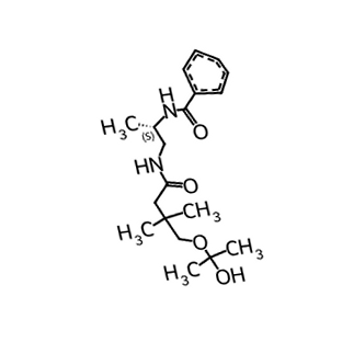 C[C@@H](CNC(=O)CC(C)(C)COC(C)(C)O)NC(=O)c1ccccc1